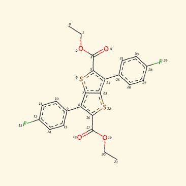 CCOC(=O)c1sc2c(-c3ccc(F)cc3)c(C(=O)OCC)sc2c1-c1ccc(F)cc1